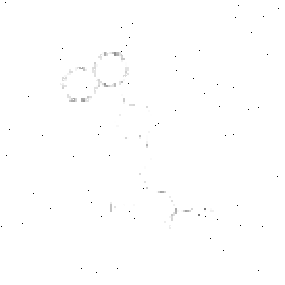 CNC(=O)CN(CCN1CCN(c2cccc3ccccc23)CC1)C(=O)O